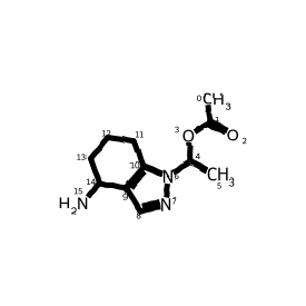 CC(=O)OC(C)n1ncc2c1CCCC2N